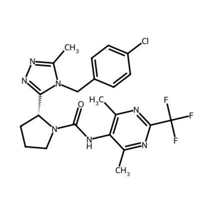 Cc1nc(C(F)(F)F)nc(C)c1NC(=O)N1CCC[C@@H]1c1nnc(C)n1Cc1ccc(Cl)cc1